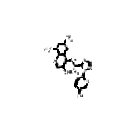 C[C@H](Nc1c(C#N)cnc2c(C(F)(F)F)cc(C(F)(F)F)cc12)c1ncnn1-c1ccc(C#N)cn1